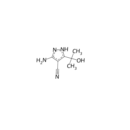 CC(C)(O)c1[nH]nc(N)c1C#N